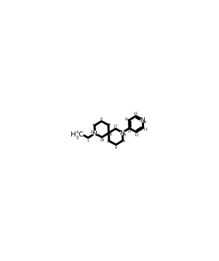 CCN1CCCC2(CCCN(c3ccncc3)C2)C1